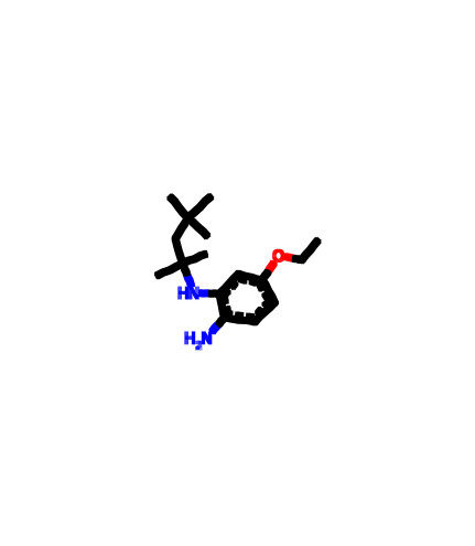 CCOc1ccc(N)c(NC(C)(C)CC(C)(C)C)c1